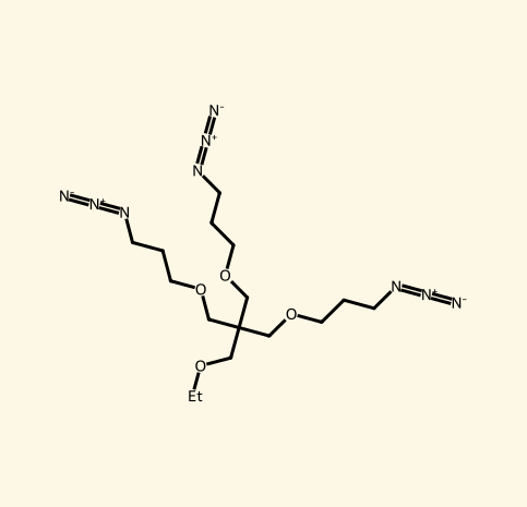 CCOCC(COCCCN=[N+]=[N-])(COCCCN=[N+]=[N-])COCCCN=[N+]=[N-]